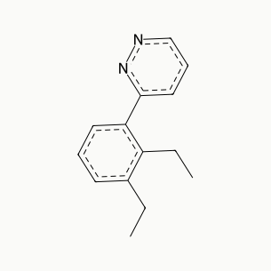 CCc1cccc(-c2cccnn2)c1CC